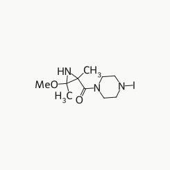 COC1(C)NC1(C)C(=O)N1CCN(I)CC1